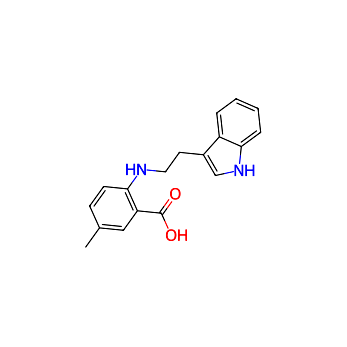 Cc1ccc(NCCc2c[nH]c3ccccc23)c(C(=O)O)c1